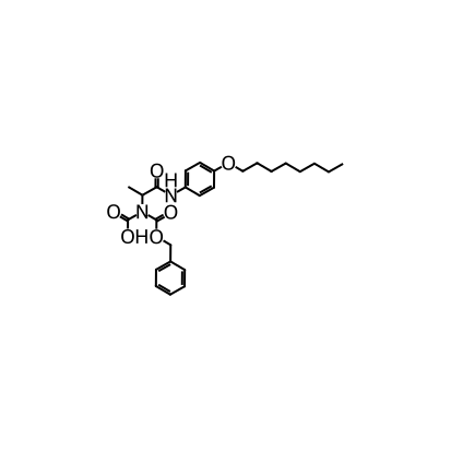 CCCCCCCCOc1ccc(NC(=O)C(C)N(C(=O)O)C(=O)OCc2ccccc2)cc1